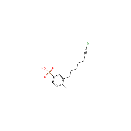 Cc1ccc(S(=O)(=O)O)cc1CCCCCC#CBr